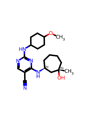 COC1CCC(Nc2ncc(C#N)c(N[C@H]3CCCC[C@](C)(O)C3)n2)CC1